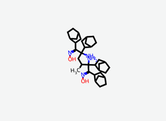 CC(CC(N)(C(=NO)C1CC2CCC1C2)C1CC2CCC1C2)C(N)(C(=NO)C1CC2CCC1C2)C1CC2CCC1C2